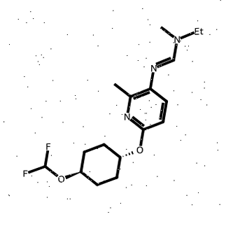 CCN(C)/C=N/c1ccc(O[C@H]2CC[C@H](OC(F)F)CC2)nc1C